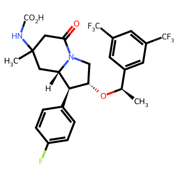 C[C@@H](O[C@H]1CN2C(=O)CC(C)(NC(=O)O)C[C@H]2[C@@H]1c1ccc(F)cc1)c1cc(C(F)(F)F)cc(C(F)(F)F)c1